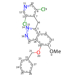 COc1ccc2c(Cc3c(Cl)cncc3Cl)nncc2c1OCc1ccccc1